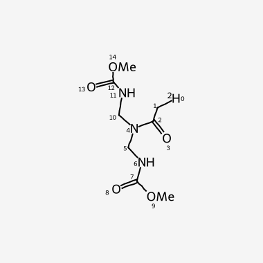 [2H]CC(=O)N(CNC(=O)OC)CNC(=O)OC